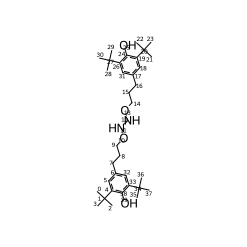 CC(C)(C)c1cc(CCCONNOCCCc2cc(C(C)(C)C)c(O)c(C(C)(C)C)c2)cc(C(C)(C)C)c1O